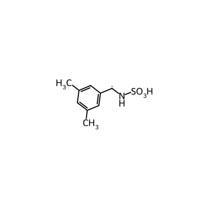 Cc1cc(C)cc([CH]NS(=O)(=O)O)c1